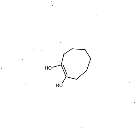 OC1=C(O)CCCCCC1